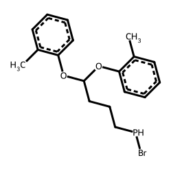 Cc1ccccc1OC(CCCPBr)Oc1ccccc1C